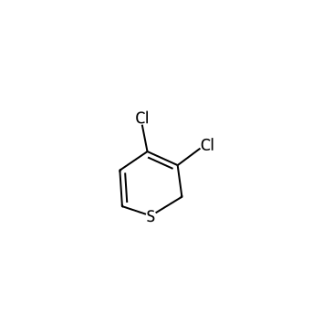 ClC1=C(Cl)CSC=C1